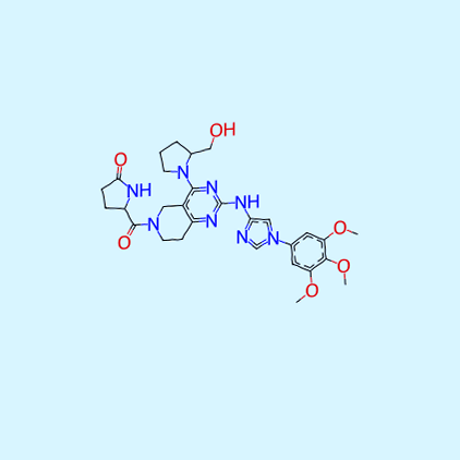 COc1cc(-n2cnc(Nc3nc4c(c(N5CCCC5CO)n3)CN(C(=O)C3CCC(=O)N3)CC4)c2)cc(OC)c1OC